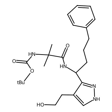 CC(C)(C)OC(=O)NC(C)(C)C(=O)NC(CCCc1ccccc1)c1n[nH]cc1CCO